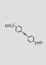 CCOC(=O)c1ccc(C#Cc2ccc(C=O)cc2)cc1